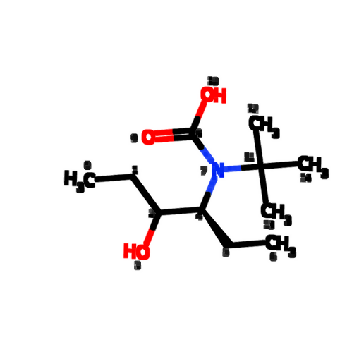 CCC(O)[C@H](CC)N(C(=O)O)C(C)(C)C